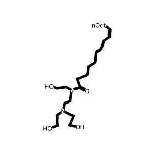 CCCCCCCC/C=C\CCCCCCCC(=O)N(CCO)CCN(CCO)CCO